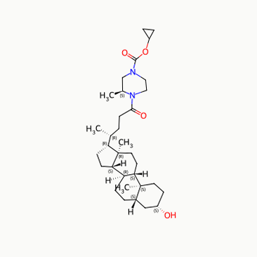 C[C@H](CCC(=O)N1CCN(C(=O)OC2CC2)C[C@@H]1C)[C@H]1CC[C@H]2[C@@H]3CC[C@H]4C[C@@H](O)CC[C@]4(C)[C@H]3CC[C@]12C